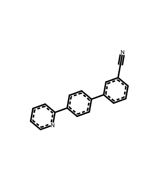 N#Cc1cccc(-c2ccc(-c3ccccn3)cc2)c1